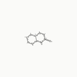 O=c1ccc2csccc-2n1